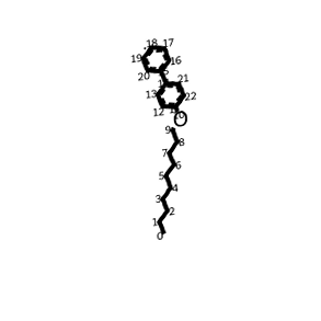 CCCCCCCCCCOc1ccc(-c2cc[c]cc2)cc1